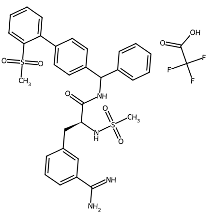 CS(=O)(=O)N[C@@H](Cc1cccc(C(=N)N)c1)C(=O)NC(c1ccccc1)c1ccc(-c2ccccc2S(C)(=O)=O)cc1.O=C(O)C(F)(F)F